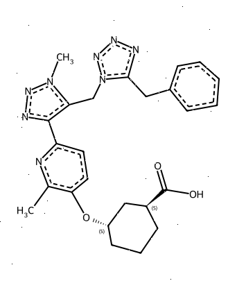 Cc1nc(-c2nnn(C)c2Cn2nnnc2Cc2ccccc2)ccc1O[C@H]1CCC[C@H](C(=O)O)C1